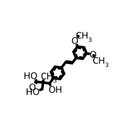 COc1cc(C=Cc2ccc(C(O)C(C)(CO)C(=O)O)cc2)cc(OC)c1